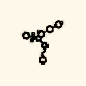 O=S(=O)(c1ccccc1)n1cc(-c2cnn(CCN3CCOCC3)c2)c2cc([C@H]3CC[C@@H](N4CCOCC4)CC3)cnc21